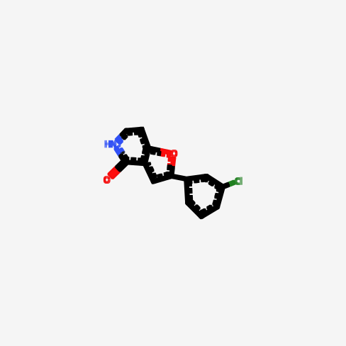 O=c1[nH]ccc2oc(-c3cccc(Cl)c3)cc12